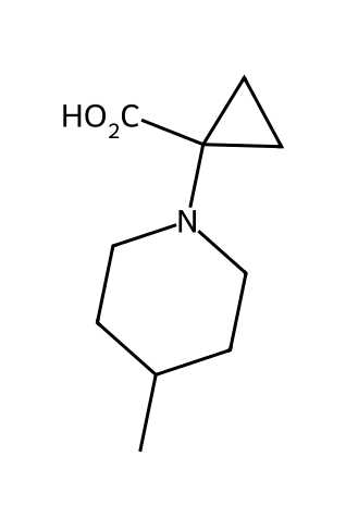 CC1CCN(C2(C(=O)O)CC2)CC1